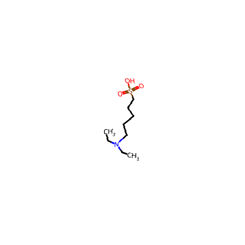 CCN(CC)CCCCCS(=O)(=O)O